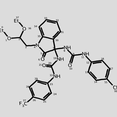 CCOC(CN1C(=O)C(NC(=O)Nc2ccc(C(F)(F)F)cc2)(NC(=O)Nc2ccc(C(F)(F)F)cc2)c2ccccc21)OCC